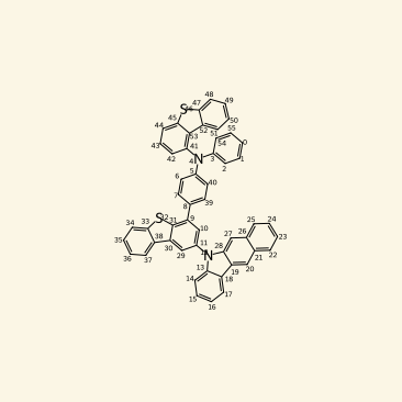 c1ccc(N(c2ccc(-c3cc(-n4c5ccccc5c5cc6ccccc6cc54)cc4c3sc3ccccc34)cc2)c2cccc3sc4ccccc4c23)cc1